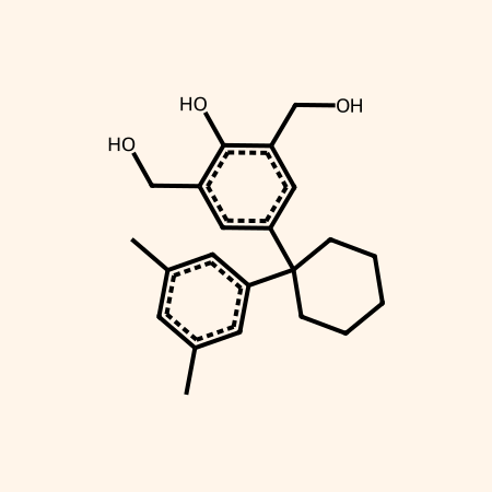 Cc1cc(C)cc(C2(c3cc(CO)c(O)c(CO)c3)CCCCC2)c1